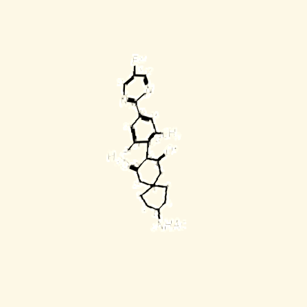 CC(=O)NC1CCC2(CC1)CC(=O)C(c1c(C)cc(-c3ncc(F)cn3)cc1C)C(=O)C2